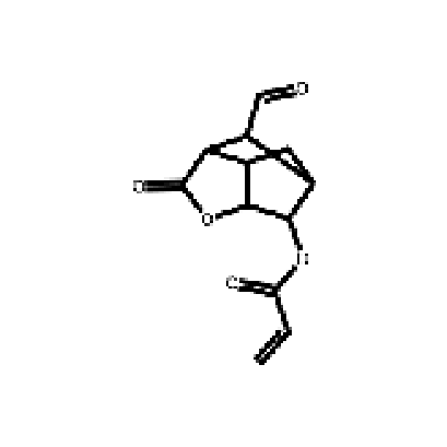 C=CC(=O)OC1C2CC3C1OC(=O)C3C2C=O